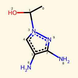 CC(O)n1cc(N)c(N)n1